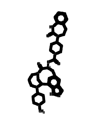 CN1CCC(N2CCCN3CC2c2cc(cc4cn[nH]c24)C[C@@H](OC(=O)N2CCC(N4CCc5ccccc5NC4=O)CC2)C3=O)CC1